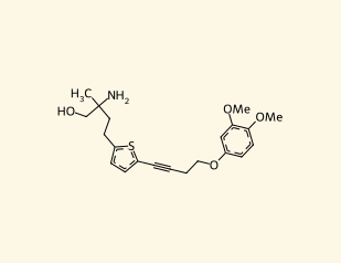 COc1ccc(OCCC#Cc2ccc(CCC(C)(N)CO)s2)cc1OC